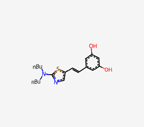 CCCCN(CCCC)c1ncc(/C=C/c2cc(O)cc(O)c2)s1